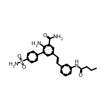 CCCC(=O)Nc1cccc(C=Cc2cc(C(N)=O)c(N)c(-c3ccc(S(N)(=O)=O)cc3)c2)c1